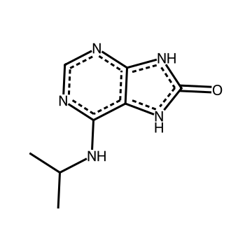 CC(C)Nc1ncnc2[nH]c(=O)[nH]c12